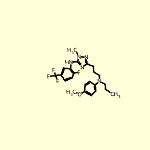 CCCN(CCCc1nc(Nc2cc(C(F)(F)F)ccc2F)n(C)n1)c1ccc(OC)cc1